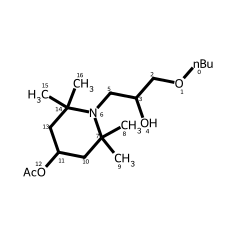 CCCCOCC(O)CN1C(C)(C)CC(OC(C)=O)CC1(C)C